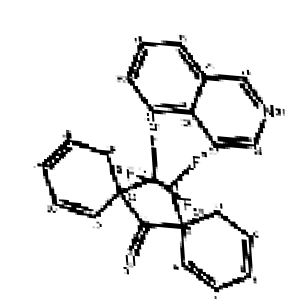 O=C(C1(C(F)F)C=CC=CC1)C1(C(F)F)C=CC=CC1.c1ccc2cnccc2c1